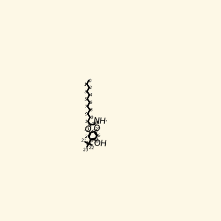 CCCCCCCCCCCCC(Oc1ccc(O)c(C(C)(C)C)c1)C([NH])=O